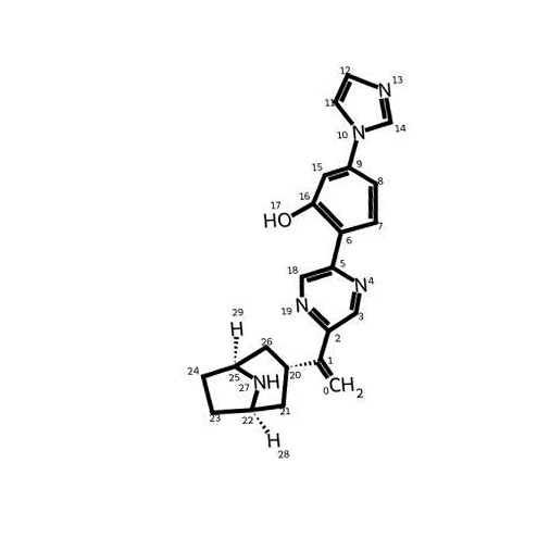 C=C(c1cnc(-c2ccc(-n3ccnc3)cc2O)cn1)[C@@H]1C[C@H]2CC[C@@H](C1)N2